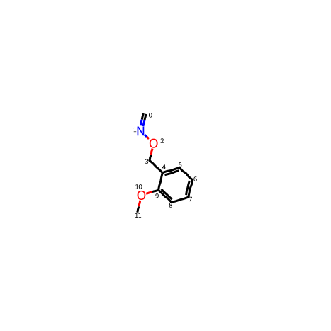 C=NOCc1ccccc1OC